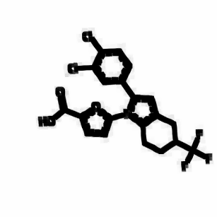 O=C(O)c1ccc(-n2c(-c3ccc(Cl)c(Cl)c3)cc3c2CCC(C(F)(F)F)C3)o1